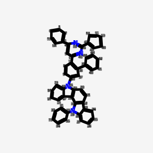 c1ccc(-c2cc(-c3ccc(-n4c5ccccc5c5c4ccc4c6ccccc6n(-c6ccccc6)c45)cc3-c3ccccc3)nc(-c3ccccc3)n2)cc1